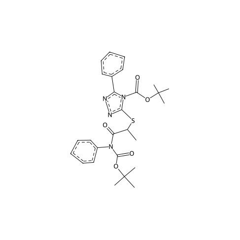 CC(Sc1nnc(-c2ccccc2)n1C(=O)OC(C)(C)C)C(=O)N(C(=O)OC(C)(C)C)c1ccccc1